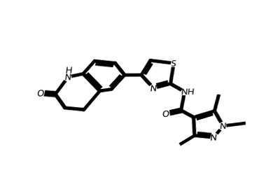 Cc1nn(C)c(C)c1C(=O)Nc1nc(-c2ccc3c(c2)CCC(=O)N3)cs1